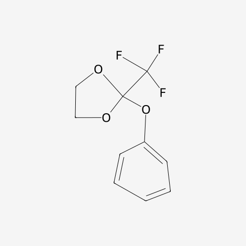 FC(F)(F)C1(Oc2ccccc2)OCCO1